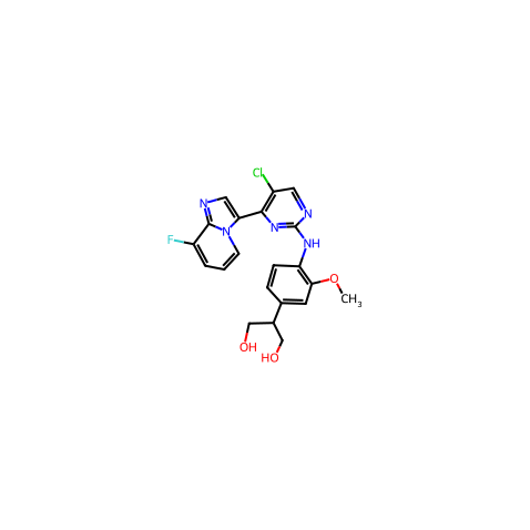 COc1cc(C(CO)CO)ccc1Nc1ncc(Cl)c(-c2cnc3c(F)cccn23)n1